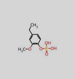 CCc1ccc(OP(=O)(O)O)c(OC)c1